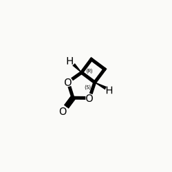 O=C1O[C@H]2CC[C@H]2O1